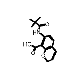 CC(C)(C)C(=O)Nc1ccc2c(c1C(=O)O)OCC=C2